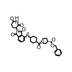 CN(c1cccc2c1C(=O)N(C1CCC(=O)NC1=O)C2=O)C1CCC(C(=O)N2CC[C@@H](C(=O)OCc3ccccc3)C2)CC1